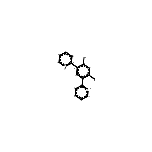 Cc1cc(C)c(-c2ccccn2)cc1-c1ccccn1